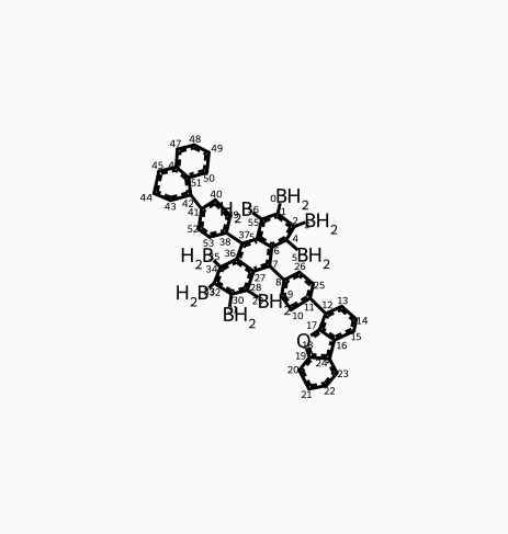 Bc1c(B)c(B)c2c(-c3ccc(-c4cccc5c4oc4ccccc45)cc3)c3c(B)c(B)c(B)c(B)c3c(-c3ccc(-c4cccc5ccccc45)cc3)c2c1B